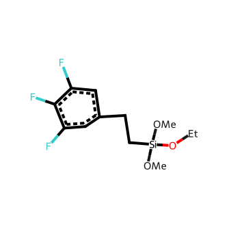 CCO[Si](CCc1cc(F)c(F)c(F)c1)(OC)OC